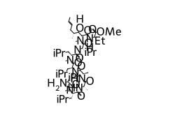 C/C=C/C[C@@H](C)[C@@H](O)[C@@H](C(=O)N[C@@H](CC)C(=O)OC)N(C)C(=O)[C@H](C(C)C)N(C)C(=O)[C@H](CC(C)C)N(C)C(=O)[C@H](CC(C)C)N(C)C(=O)[C@@H](C)NC(=O)[C@H](C)NC(=O)[C@H](CC(C)C)N(C)C(=O)[C@@H](N)C(C)C